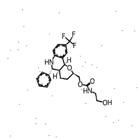 O=C(NCCO)OC[C@H]1CC[C@@H]2[C@H](O1)c1cc(C(F)(F)F)ccc1N[C@H]2c1ccccc1